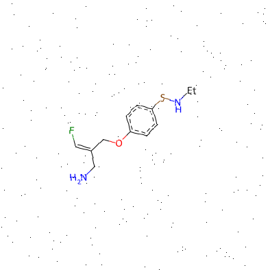 CCNSc1ccc(OC/C(=C\F)CN)cc1